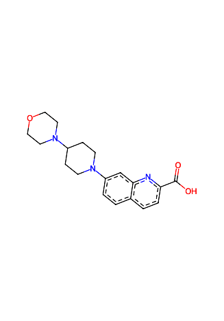 O=C(O)c1ccc2ccc(N3CCC(N4CCOCC4)CC3)cc2n1